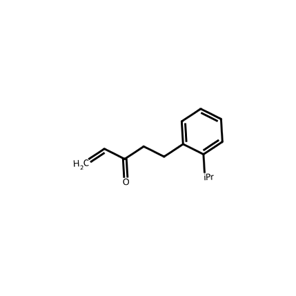 C=CC(=O)CCc1ccccc1C(C)C